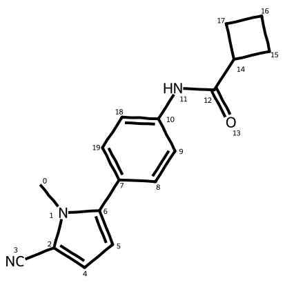 Cn1c(C#N)ccc1-c1ccc(NC(=O)C2CCC2)cc1